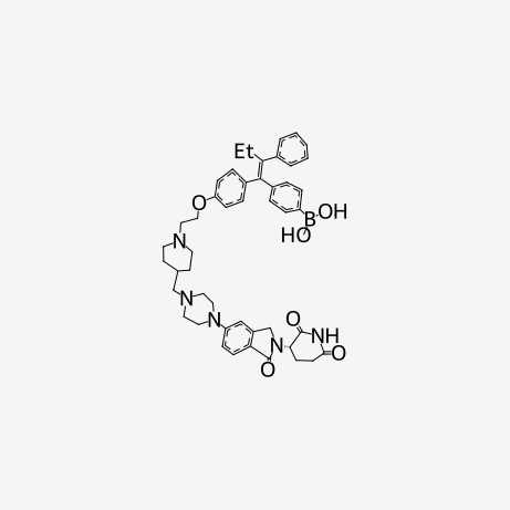 CC/C(=C(\c1ccc(OCCN2CCC(CN3CCN(c4ccc5c(c4)CN([C@H]4CCC(=O)NC4=O)C5=O)CC3)CC2)cc1)c1ccc(B(O)O)cc1)c1ccccc1